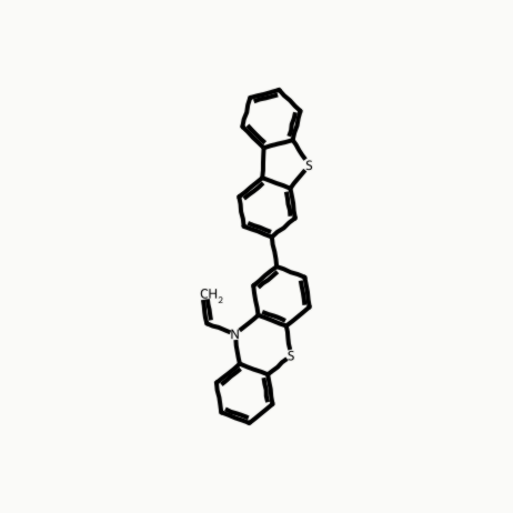 C=CN1c2ccccc2Sc2ccc(-c3ccc4c(c3)sc3ccccc34)cc21